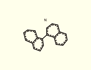 [N].c1ccc2c(-c3cccc4ccccc34)cccc2c1